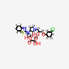 CN(c1nc2ccccc2s1)C1CCN(CC(O)COc2cccc(Cl)c2)C1.O=C(O)C(=O)O